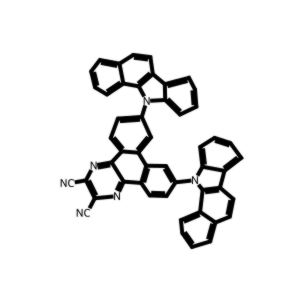 N#Cc1nc2c3ccc(-n4c5ccccc5c5ccc6ccccc6c54)cc3c3cc(-n4c5ccccc5c5ccc6ccccc6c54)ccc3c2nc1C#N